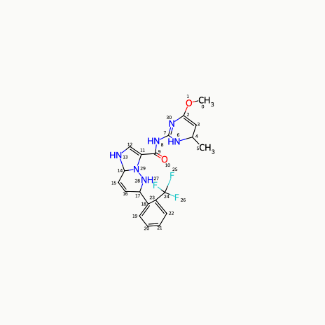 COC1=CC(C)NC(NC(=O)C2=CNC3C=CC(c4ccccc4C(F)(F)F)NN23)=N1